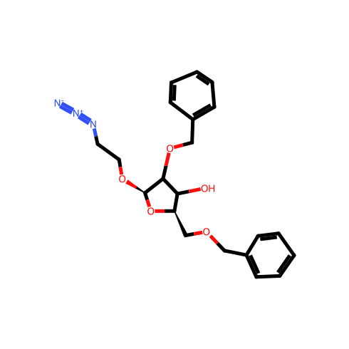 [N-]=[N+]=NCCO[C@@H]1O[C@H](COCc2ccccc2)C(O)C1OCc1ccccc1